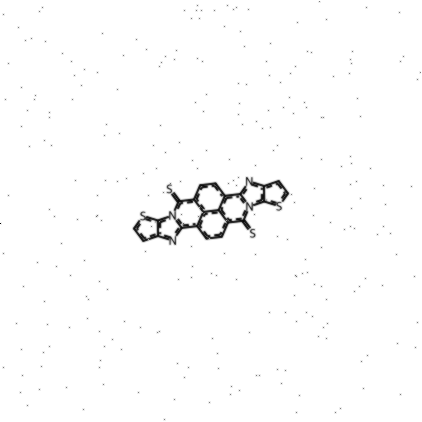 S=c1c2ccc3c4c(ccc(c24)c2nc4ccsc4n12)c(=S)n1c3nc2ccsc21